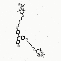 CC1(C)CC(OCCCCCCOc2ccc(C(=Cc3ccc(Br)cc3)c3ccc(OCCCCCCOC4CC(C)(C)N(O[Si](C)(C)C(C)(C)C)C(C)(C)C4)cc3)cc2)CC(C)(C)N1O[Si](C)(C)C(C)(C)C